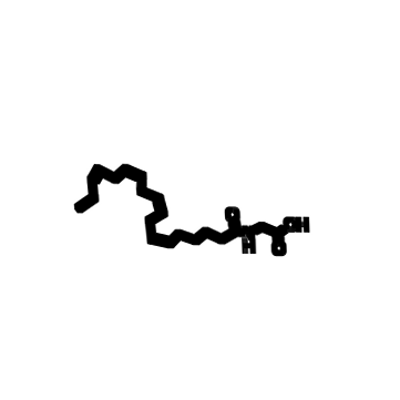 CC/C=C\C/C=C\C/C=C\C/C=C\CCCCC(=O)NCC(=O)O